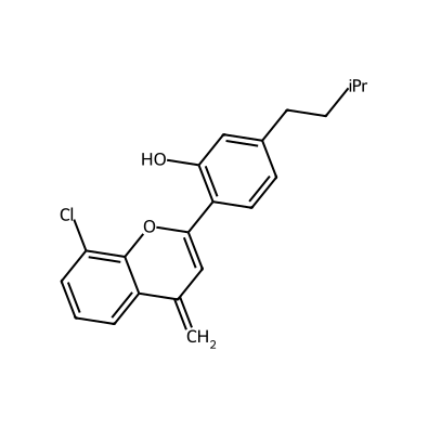 C=C1C=C(c2ccc(CCC(C)C)cc2O)Oc2c(Cl)cccc21